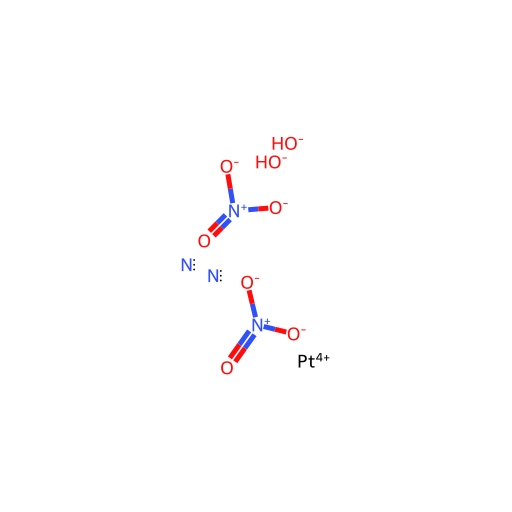 O=[N+]([O-])[O-].O=[N+]([O-])[O-].[N].[N].[OH-].[OH-].[Pt+4]